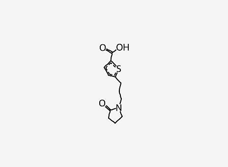 O=C(O)c1ccc(CCCN2CCCC2=O)s1